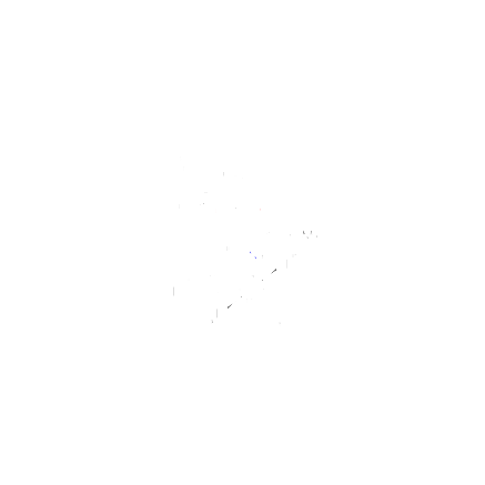 COC(=O)N1[C@@H]2CCC[C@@H]2[C@H](C)[C@@H]1CO[Si](C)(C)C(C)(C)C